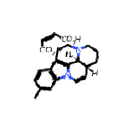 Cc1ccc2c3c4n(c2c1)C=C[C@H]1CCCN(CC3)[C@H]41.O=C(O)/C=C\C(=O)O